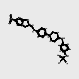 O=[N+]([O-])c1cn2c(n1)OC(COc1ccc(N3CCC(Oc4ccc(OC(F)(F)F)cc4)CC3)cc1)C2